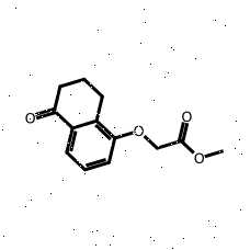 COC(=O)COc1cccc2c1CCCC2=O